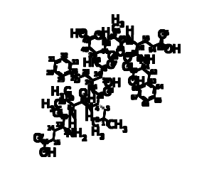 CC(C)C[C@H](NC(=O)[C@@H](NC(=O)[C@@H](N)CCC(=O)O)C(C)C)C(=O)N[C@@H](CSc1ccccc1)[C@@H](O)C(=O)N[C@@H](CC(=O)O)C(=O)N[C@@H](C)C(=O)N[C@@H](CCC(=O)O)C(=O)N[C@@H](Cc1ccccc1)C(=O)O